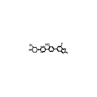 CCC1CN(c2ncc(-c3ccc(-c4cc(F)c5nn(C)cc5c4)cc3O)nn2)CCN1